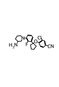 N#Cc1ccc(OC2(c3cccc(N4CCCC(N)C4)c3F)CCCC2)c(Cl)c1